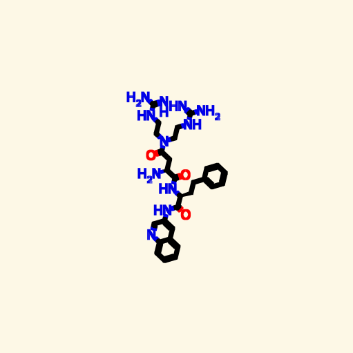 N=C(N)NCCN(CCNC(=N)N)C(=O)C[C@H](N)C(=O)N[C@@H](CCc1ccccc1)C(=O)Nc1cnc2ccccc2c1